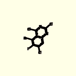 Fc1c(Cl)cc2nc(Cl)nc(Cl)c2c1Br